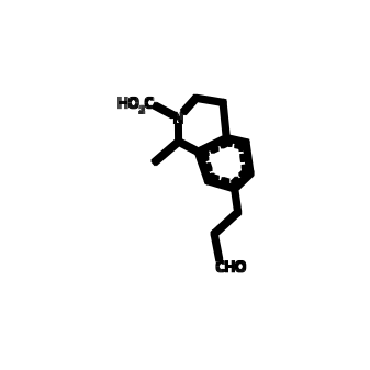 CC1c2cc(CCC=O)ccc2CCN1C(=O)O